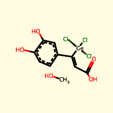 CO.O=C(O)C=[C](c1ccc(O)c(O)c1)[Ge]([Cl])([Cl])[Cl]